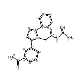 N=C(N)NC(=O)Cn1c(-c2ccccc2)ccc1-c1cccc(C(N)=O)c1